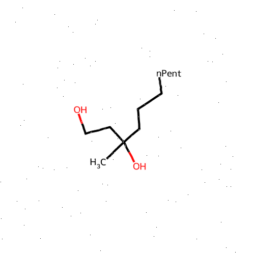 CCCCCCCCC(C)(O)CCO